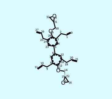 C=CCc1cc(-c2cc(CC=C)c(OC[C@@H]3CO3)c(CC=C)c2)cc(CC=C)c1OCC1CO1